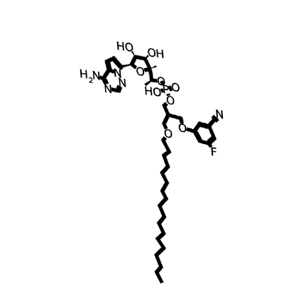 CCCCCCCCCCCCCCCCCCOCC(COc1cc(F)cc(C#N)c1)COP(=O)(O)O[C@@H](C)[C@@]1(C)O[C@@H](c2ccc3c(N)ncnn23)[C@H](O)[C@@H]1O